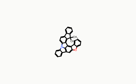 CC1(C)c2ccccc2-c2ccc3c(c21)c1c2c(cc4c5ccccc5n3c41)oc1ccccc12